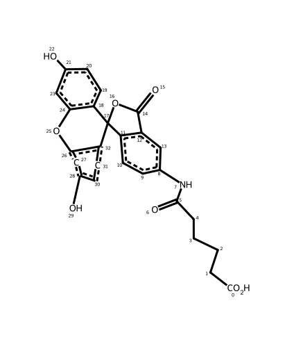 O=C(O)CCCCC(=O)Nc1ccc2c(c1)C(=O)OC21c2ccc(O)cc2Oc2cc(O)ccc21